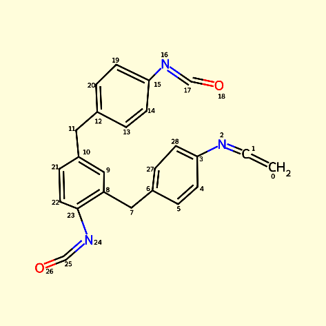 C=C=Nc1ccc(Cc2cc(Cc3ccc(N=C=O)cc3)ccc2N=C=O)cc1